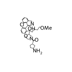 COCCCC[C@@](O)(c1cccc(Cl)c1-c1cncc2ccccc12)C1CN(C(=O)[C@@H]2CC[C@H](N)C2)CCO1